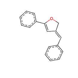 C(=C1C=C(c2ccccc2)OC1)c1ccccc1